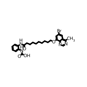 Cc1ncnc2c(OCCCCCCCCCC(=O)Nc3ccccc3NC(=O)O)cc(Br)cc12